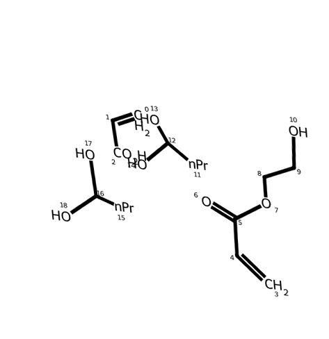 C=CC(=O)O.C=CC(=O)OCCO.CCCC(O)O.CCCC(O)O